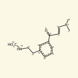 CN(C)C=CC(=O)c1cccc(CCNC(=O)O)c1